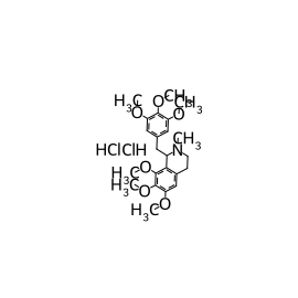 COc1cc(CC2c3c(cc(OC)c(OC)c3OC)CCN2C)cc(OC)c1OC.Cl.Cl